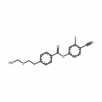 N#Cc1ccc(OC(=O)c2ccc(CCOCO)cc2)cc1F